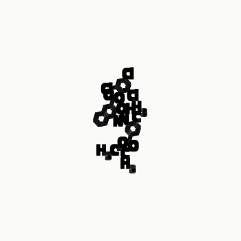 Cc1ccc(C(=O)OC(C)C)cc1N=Nc1c(O)c(C(=O)Oc2c(Cl)cc(Cl)cc2Cl)cc2ccccc12